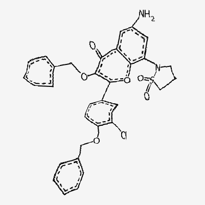 Nc1cc(N2CCCS2(=O)=O)c2oc(-c3ccc(OCc4ccccc4)c(Cl)c3)c(OCc3ccccc3)c(=O)c2c1